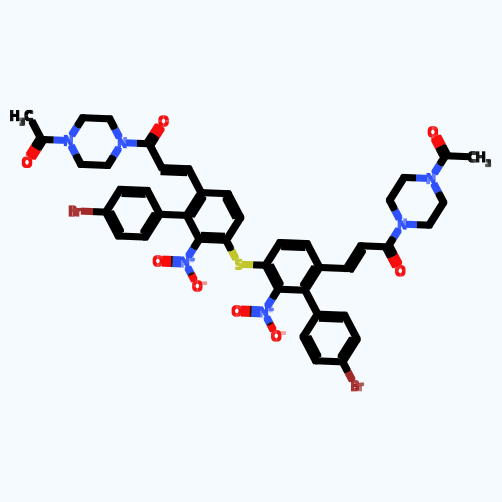 CC(=O)N1CCN(C(=O)/C=C/c2ccc(Sc3ccc(/C=C/C(=O)N4CCN(C(C)=O)CC4)c(-c4ccc(Br)cc4)c3[N+](=O)[O-])c([N+](=O)[O-])c2-c2ccc(Br)cc2)CC1